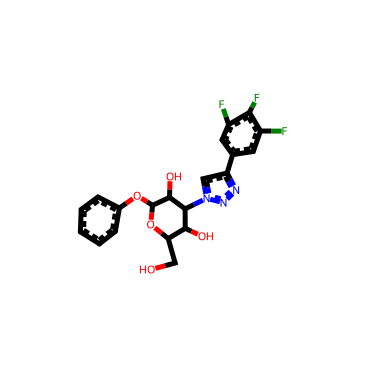 OCC1OC(Oc2ccccc2)C(O)C(n2cc(-c3cc(F)c(F)c(F)c3)nn2)C1O